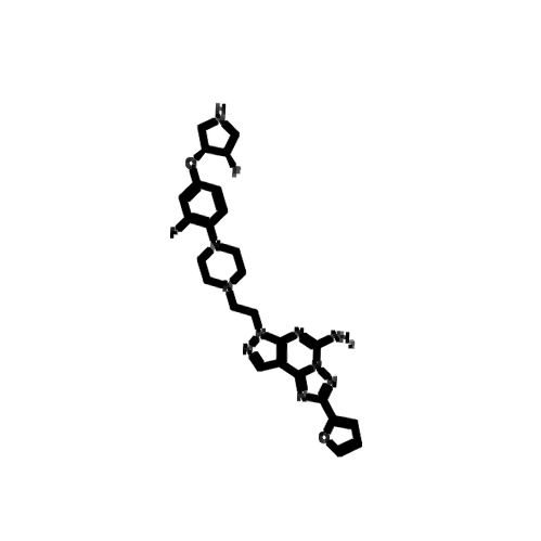 Nc1nc2c(cnn2CCN2CCN(c3ccc(O[C@H]4CNC[C@H]4F)cc3F)CC2)c2nc(-c3ccco3)nn12